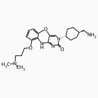 CN(C)CCCOc1cccc2c1Nc1nc(=O)n([C@H]3CC[C@H](CN)CC3)cc1O2